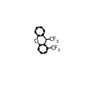 FC(F)(F)c1cccc2c1C(C(F)(F)F)c1ccccc1O2